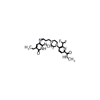 C=Nc1[nH]c(=O)c(CC)cc1/N=C\CCN1CCN(c2ccc(C(=O)NC)nc2C(F)F)CC1